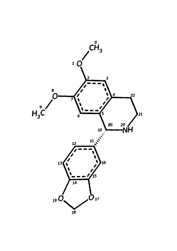 COc1cc2c(cc1OC)[C@@H](c1ccc3c(c1)OCO3)NCC2